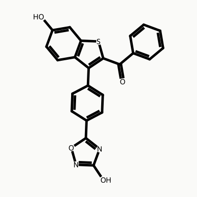 O=C(c1ccccc1)c1sc2cc(O)ccc2c1-c1ccc(-c2nc(O)no2)cc1